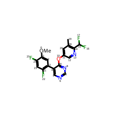 COc1cc(-c2cncnc2Oc2cnc(C(F)F)c(C)c2)c(F)cc1F